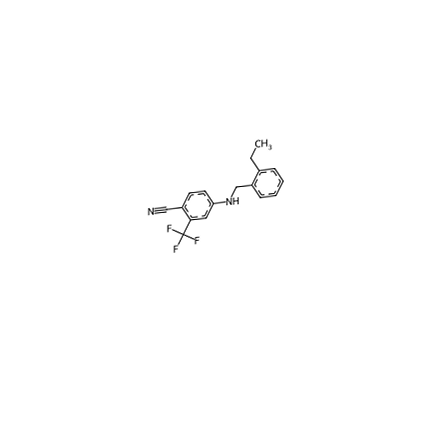 CCc1ccccc1CNc1ccc(C#N)c(C(F)(F)F)c1